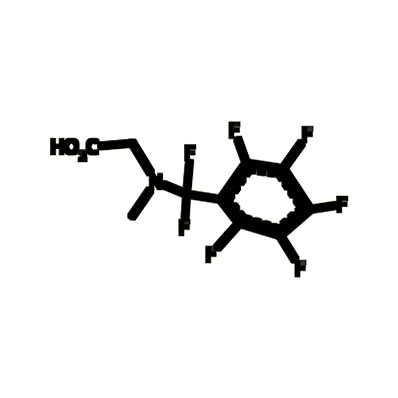 CN(CC(=O)O)C(F)(F)c1c(F)c(F)c(F)c(F)c1F